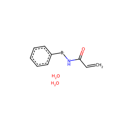 C=CC(=O)N[B]c1ccccc1.O.O